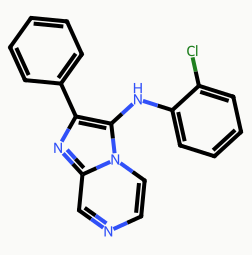 Clc1ccccc1Nc1c(-c2ccccc2)nc2cnccn12